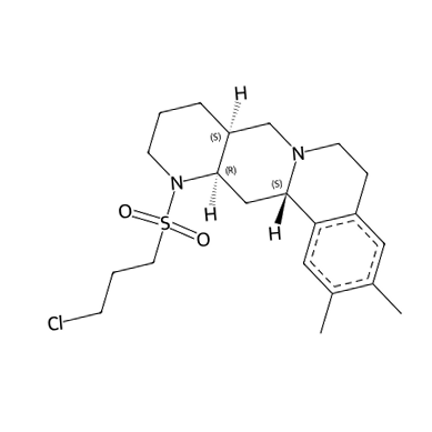 Cc1cc2c(cc1C)[C@@H]1C[C@@H]3[C@@H](CCCN3S(=O)(=O)CCCCl)CN1CC2